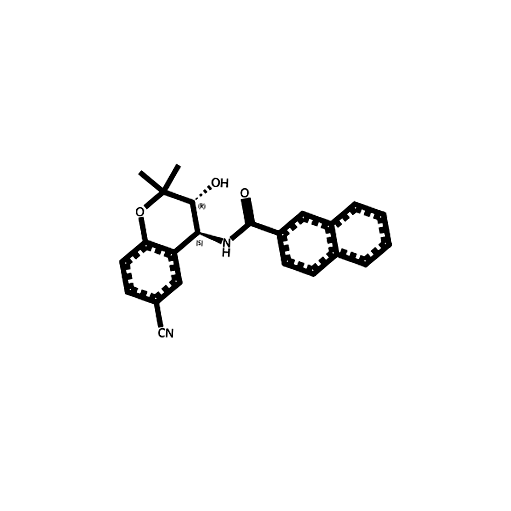 CC1(C)Oc2ccc(C#N)cc2[C@H](NC(=O)c2ccc3ccccc3c2)[C@H]1O